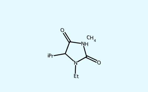 C.CCN1C(=O)NC(=O)C1C(C)C